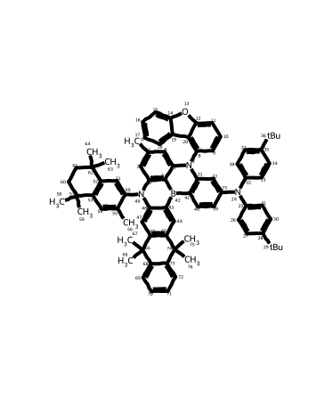 Cc1cc2c3c(c1)N(c1cccc4oc5ccccc5c14)c1cc(N(c4ccc(C(C)(C)C)cc4)c4ccc(C(C)(C)C)cc4)ccc1B3c1cc3c(cc1N2c1cc2c(cc1C)C(C)(C)CCC2(C)C)C(C)(C)c1ccccc1C3(C)C